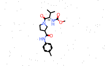 COC(=O)N[C@H](C(=O)N1CCC(C(=O)Nc2ccc(C)cc2)C1)C(C)C